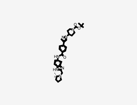 C[C@H]1CCCN1Cc1nc2cc(NC(=O)c3ccc(-c4cnn(C5CCN(C(=O)OC(C)(C)C)CC5)c4)cc3)ccc2[nH]1